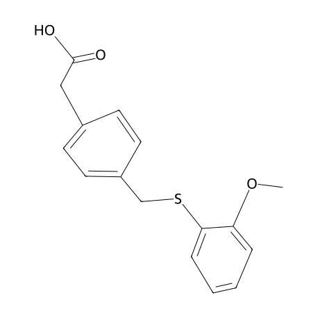 COc1ccccc1SCc1ccc(CC(=O)O)cc1